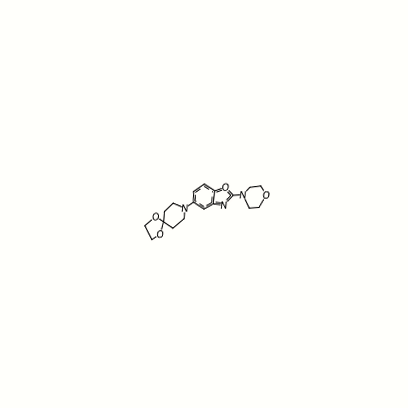 c1cc2oc(N3CCOCC3)nc2cc1N1CCC2(CC1)OCCO2